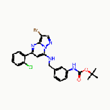 CC(C)(C)OC(=O)Nc1cccc(CNc2cc(-c3ccccc3Cl)nc3c(Br)cnn23)c1